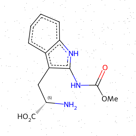 COC(=O)Nc1[nH]c2ccccc2c1C[C@H](N)C(=O)O